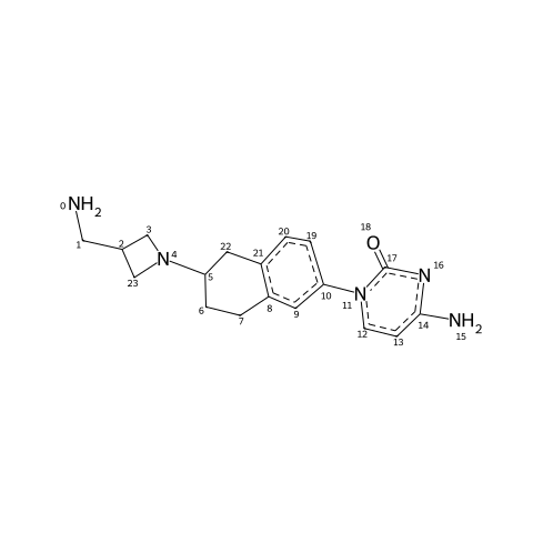 NCC1CN(C2CCc3cc(-n4ccc(N)nc4=O)ccc3C2)C1